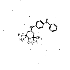 CN1C(C)(C)CC(Nc2ccc(Nc3ccccc3)cc2)CC1(C)C